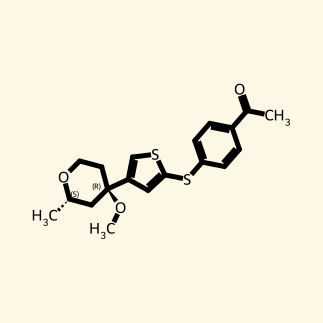 CO[C@]1(c2csc(Sc3ccc(C(C)=O)cc3)c2)CCO[C@@H](C)C1